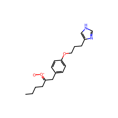 CCCCC(Cc1ccc(OCCCc2c[nH]cn2)cc1)=[O+][O-]